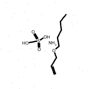 C=CCOCCCCC.N.O=S(=O)(O)O